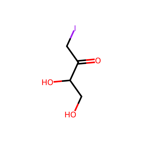 O=C(CI)C(O)CO